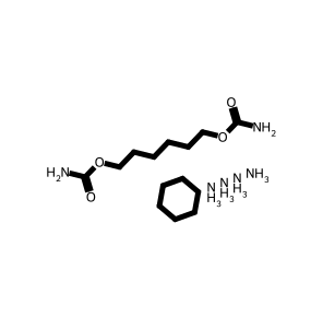 C1CCCCC1.N.N.N.N.NC(=O)OCCCCCCOC(N)=O